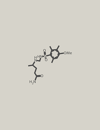 COc1cc(C)c(S(=O)(=O)NCNC(C)CCC(N)=O)c(C)c1C